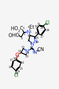 CCN(C(CC=O)C(=O)O)C1CN(C(=NC#N)N2CC(Oc3ccc(Cl)cc3)C2)N=C1c1ccc(Cl)cc1